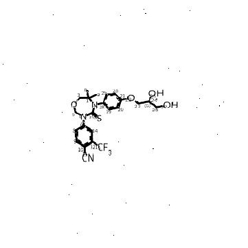 CC1(C)COCN(c2ccc(C#N)c(C(F)(F)F)c2)C(=S)N1c1ccc(OC[C@@H](O)CO)cc1